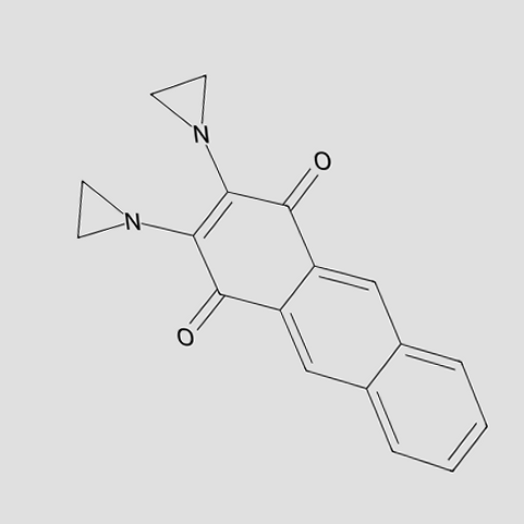 O=C1C(N2CC2)=C(N2CC2)C(=O)c2cc3ccccc3cc21